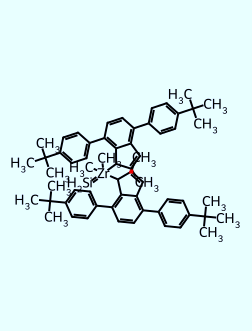 CC1=Cc2c(-c3ccc(C(C)(C)C)cc3)ccc(-c3ccc(C(C)(C)C)cc3)c2[CH]1[Zr]([CH3])([CH3])(=[SiH2])[CH]1C(C)=Cc2c(-c3ccc(C(C)(C)C)cc3)ccc(-c3ccc(C(C)(C)C)cc3)c21